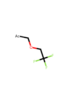 CC(=O)COCC(F)(F)F